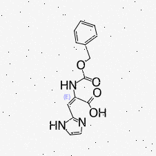 O=C(N/C(=C/c1ncc[nH]1)C(=O)O)OCc1ccccc1